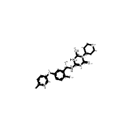 Cc1ccc(Oc2ccc(F)c([C@H](C)NC3=NC(=O)N(C4CCOCC4)C(O)N3)c2)cn1